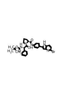 CC(C)(C)OC(=O)N[C@H](C(=O)N1CCC[C@H]1C(=O)Nc1ccc(-c2cc3nc(Br)ccc3[nH]2)cc1)c1ccccc1